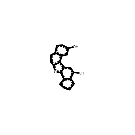 Oc1ccc2ccc3oc4c5ccccc5c(O)cc4c3c2c1